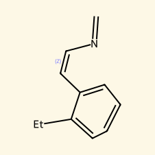 C=N/C=C\c1ccccc1CC